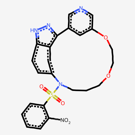 O=[N+]([O-])c1ccccc1S(=O)(=O)N1CCCOCCOc2cncc(c2)-c2n[nH]c3ccc1cc23